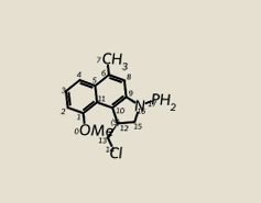 COc1cccc2c(C)cc3c(c12)[C@H](CCl)CN3P